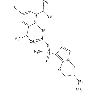 CNC1COc2c(S(N)(=O)=NC(=O)Nc3c(C(C)C)cc(F)cc3C(C)C)cnn2C1